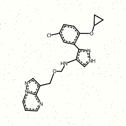 Clc1ccc(OC2CC2)c(-c2n[nH]cc2NCOCc2cnn3cccnc23)c1